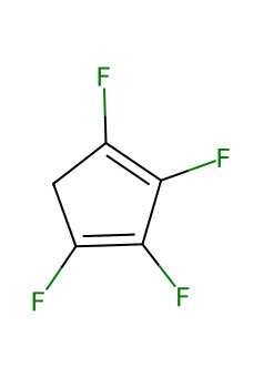 FC1=C(F)C(F)=C(F)C1